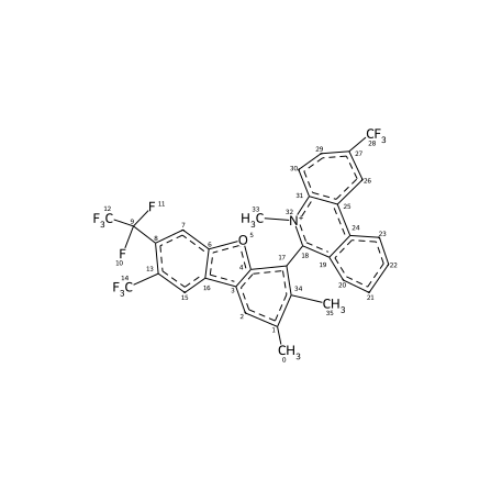 Cc1cc2c(oc3cc(C(F)(F)C(F)(F)F)c(C(F)(F)F)cc32)c(-c2c3ccccc3c3cc(C(F)(F)F)ccc3[n+]2C)c1C